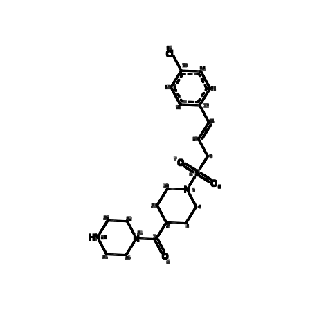 O=C(C1CCN(S(=O)(=O)CC=Cc2ccc(Cl)cc2)CC1)N1CCNCC1